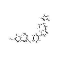 Cn1nc(C(C)(C)C)cc1NC(=O)Cc1ccc(-c2cnc3cc(-c4nccs4)ccn23)cc1